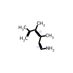 C=C(C)/C(C)=C(C)\C=C/N